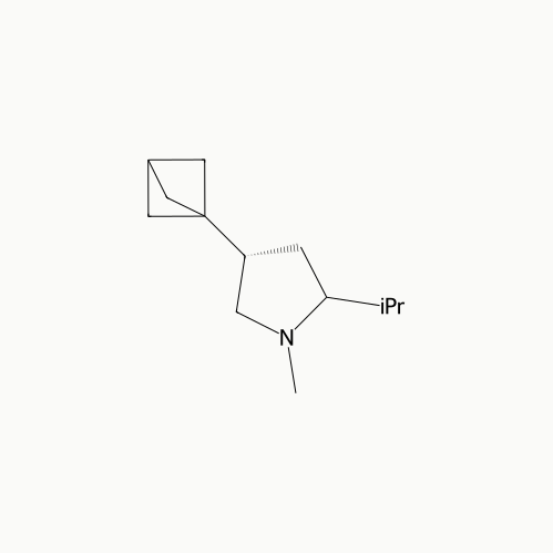 CC(C)C1C[C@@H](C23CC(C2)C3)CN1C